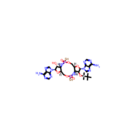 CC(C)(C)[Si](C)(C)OC1[C@H](n2cnc3c(N)ncnc32)O[C@@H]2COP(=O)(S)N[C@H]3[C@@H](O)[C@H](n4cnc5c(N)ncnc54)O[C@@H]3COP(=O)(S)N[C@@H]12